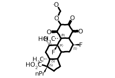 CCC[C@]1(C(=O)O)CCC2C3C[C@H](F)C4C(=O)C(=O)C(OC[O])C(=O)[C@]4(C)[C@@]3(F)[C@@H](O)C[C@@]21C